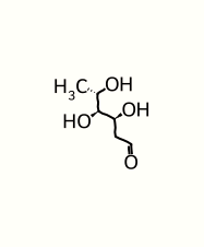 C[C@H](O)[C@H](O)[C@@H](O)CC=O